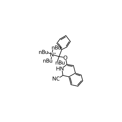 CCCCC(OC1=Cc2ccccc2C(C#N)N1)(c1ccccc1)[N+](CCCC)(CCCC)CCCC